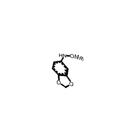 CONc1ccc2c(c1)OCO2